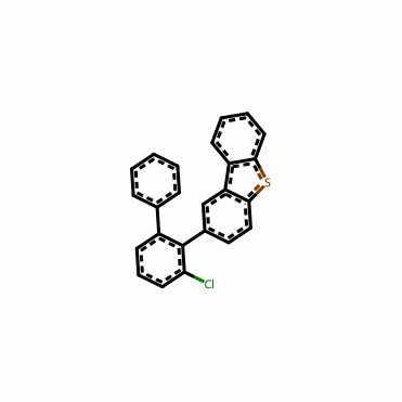 Clc1cccc(-c2ccccc2)c1-c1ccc2sc3ccccc3c2c1